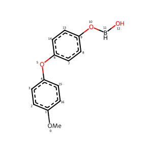 COc1ccc(Oc2ccc(OBO)cc2)cc1